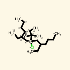 CCCCC(CC)C[Si](Cl)(CC(CC)CCCC)C(C)(C)CC